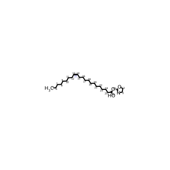 C1=NCCO1.CCCCCCCC/C=C\CCCCCCCCCCCC(=O)O